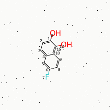 Oc1ccc2cc(F)ccc2c1O